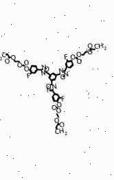 C=CC(=O)OCCOC(=O)Oc1ccc(-c2noc(-c3cc(-c4nc(-c5ccc(OC(=O)OCCOC(=O)C=C)c(F)c5)no4)cc(-c4nc(-c5ccc(OC(=O)OCCOC(=O)C=C)c(F)c5)no4)c3)n2)cc1F